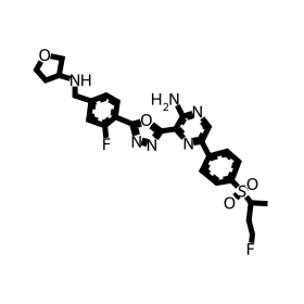 CC(CCF)S(=O)(=O)c1ccc(-c2cnc(N)c(-c3nnc(-c4ccc(CNC5CCOC5)cc4F)o3)n2)cc1